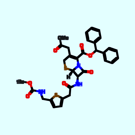 COC(=O)CC1=C(C(=O)OC(c2ccccc2)c2ccccc2)N2C(=O)[C@@H](NC(=O)Cc3ccc(CNC(=O)OC(C)(C)C)s3)[C@@H]2SC1